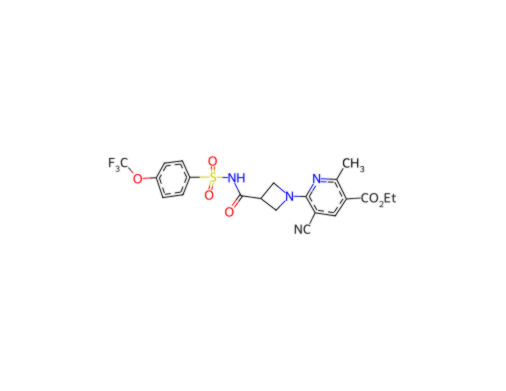 CCOC(=O)c1cc(C#N)c(N2CC(C(=O)NS(=O)(=O)c3ccc(OC(F)(F)F)cc3)C2)nc1C